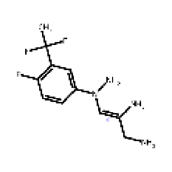 CC(F)(F)c1cc(N(N)/C=C(\N)CN)ccc1F